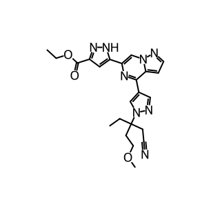 CCOC(=O)c1cc(-c2cn3nccc3c(-c3cnn(C(CC)(CC#N)CCOC)c3)n2)[nH]n1